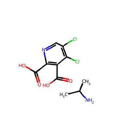 CC(C)N.O=C(O)c1ncc(Cl)c(Cl)c1C(=O)O